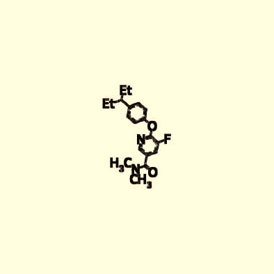 CCC(CC)c1ccc(Oc2ncc(C(=O)N(C)C)cc2F)cc1